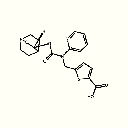 O=C(O)c1ccc(CN(C(=O)O[C@H]2CN3CCC2CC3)c2ccccn2)s1